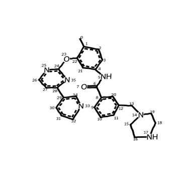 Cc1ccc(NC(=O)c2cccc(CN3CCNCC3)c2)cc1Oc1nccc(-c2cccnc2)n1